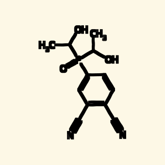 CC(O)P(=O)(c1ccc(C#N)c(C#N)c1)C(C)O